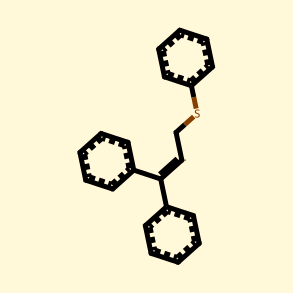 [C](CSc1ccccc1)=C(c1ccccc1)c1ccccc1